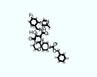 Cc1ncn(-c2cc(F)ccc2CNC(=O)c2nc3n(c(=O)c2O)CCOC32CCN(C(=O)OCc3ccccc3)CC2)n1